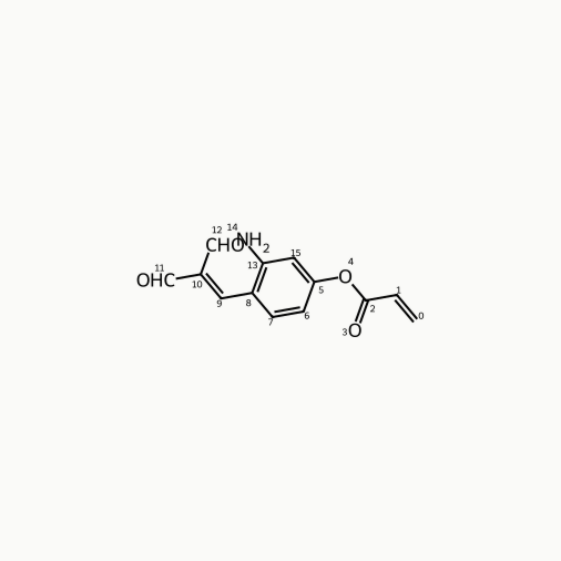 C=CC(=O)Oc1ccc(C=C(C=O)C=O)c(N)c1